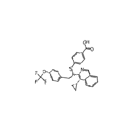 O=C(O)c1ccc(SN(Cc2ccc(OC(F)(F)F)cc2)c2ncc3ccccc3c2C2CC2)cc1